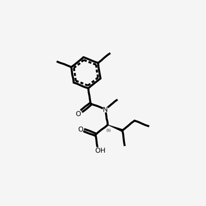 CCC(C)[C@@H](C(=O)O)N(C)C(=O)c1cc(C)cc(C)c1